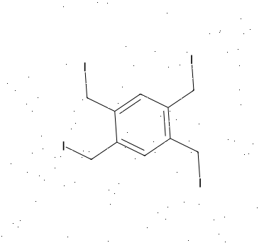 ICc1cc(CI)c(CI)cc1CI